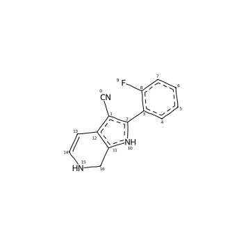 N#Cc1c(-c2ccccc2F)[nH]c2c1C=CNC2